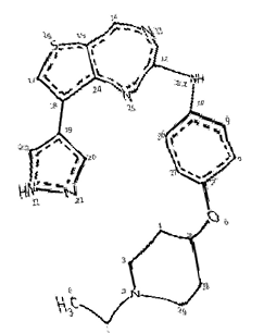 CCN1CCC(Oc2ccc(Nc3ncc4scc(-c5cn[nH]c5)c4n3)cc2)CC1